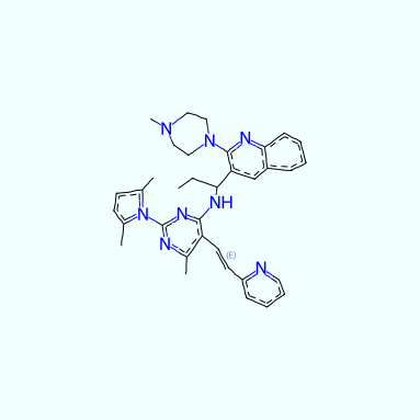 CCC(Nc1nc(-n2c(C)ccc2C)nc(C)c1/C=C/c1ccccn1)c1cc2ccccc2nc1N1CCN(C)CC1